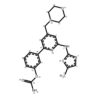 Cc1cnc(Nc2cc(CN3CCOCC3)cc(-c3cccc(OC(N)=O)c3)n2)s1